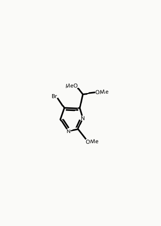 COc1ncc(Br)c(C(OC)OC)n1